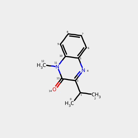 CC(C)c1nc2ccccc2n(C)c1=O